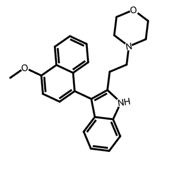 COc1ccc(-c2c(CCN3CCOCC3)[nH]c3ccccc23)c2ccccc12